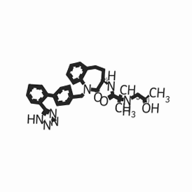 C[C@@H](O)CNC(C)(C)C(=O)N[C@@H]1CCc2ccccc2N(Cc2ccc(-c3ccccc3-c3nnn[nH]3)cc2)C1=O